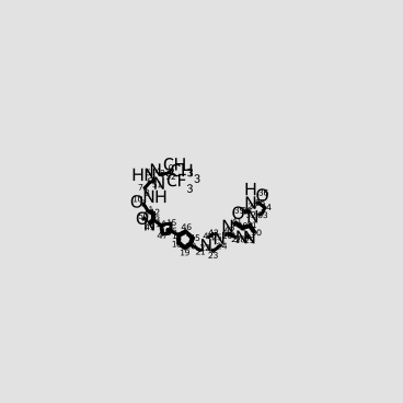 CC(C)(c1n[nH]c(CNC(=O)c2cc(C34CC(c5ccc(CN6CCN(c7cn8ncc(N9CCC(=O)NC9=O)c8cn7)CC6)cc5)(C3)C4)no2)n1)C(F)(F)F